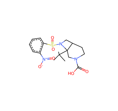 CC(C)(C)C12CN(C(=O)O)CCC1CN2S(=O)(=O)c1ccccc1[N+](=O)[O-]